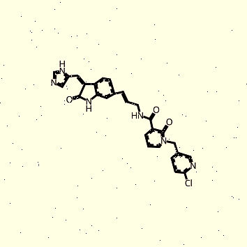 O=C1Nc2cc(C=CCNC(=O)c3cccn(Cc4ccc(Cl)nc4)c3=O)ccc2C1=Cc1cnc[nH]1